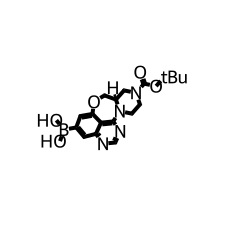 CC(C)(C)OC(=O)N1CCN2c3ncnc4cc(B(O)O)cc(c34)OC[C@@H]2C1